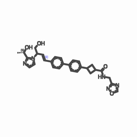 C[C@H](O)c1nccn1C(/C=C/c1ccc(-c2ccc(C3CC(C(=O)NCc4ncon4)C3)cc2)cc1)CO